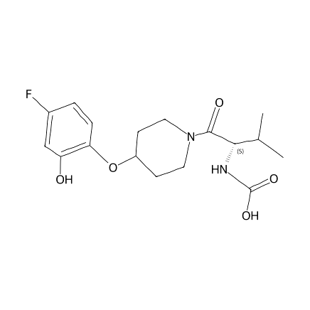 CC(C)[C@H](NC(=O)O)C(=O)N1CCC(Oc2ccc(F)cc2O)CC1